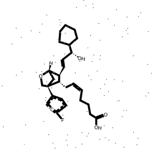 O=C(O)CCC/C=C\C[C@H]1[C@H](/C=C/[C@@H](O)C2CCCCC2)[C@@H]2C[C@@]1(c1ccc(F)cc1)CO2